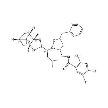 CC(C)C[C@@H](B1O[C@@H]2C[C@@H]3C[C@@H](C3(C)C)[C@]2(C)O1)N1OC(Cc2ccccc2)CC1CNC(=O)c1cc(F)c(F)cc1Cl